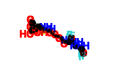 O=C(NCCOCCOCCOCCNC(=S)Nc1ccc(-c2c3ccc(=O)cc-3oc3cc(O)ccc23)c(C(=O)O)c1)c1ccc(Nc2nccc(Nc3ccc(OC(F)(F)F)cc3)n2)c(OC(F)(F)F)c1